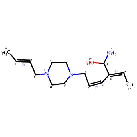 C/C=C/CN1CCN(C/C=C\C(=C/C)C(N)O)CC1